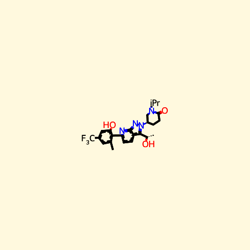 Cc1cc(C(F)(F)F)cc(O)c1-c1ccc2c([C@H](C)O)n([C@@H]3CCC(=O)N(C(C)C)C3)nc2n1